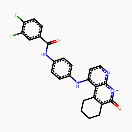 O=C(Nc1ccc(Nc2ccnc3[nH]c(=O)c4c(c23)CCCC4)cc1)c1ccc(F)c(F)c1